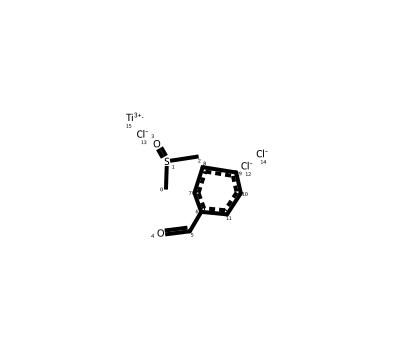 CS(C)=O.O=Cc1ccccc1.[Cl-].[Cl-].[Cl-].[Ti+3]